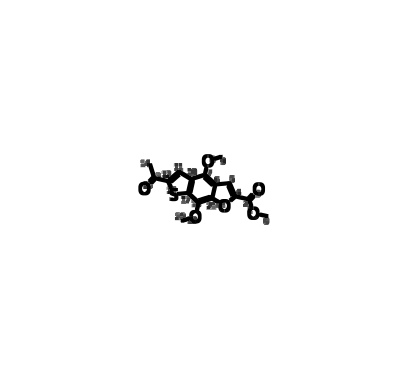 COC(=O)c1cc2c(OC)c3cc(C(C)=O)sc3c(OC)c2o1